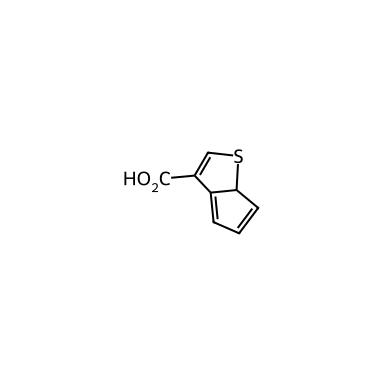 O=C(O)C1=CSC2C=CC=C12